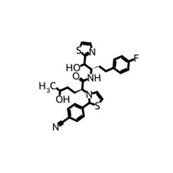 CC(O)CC[C@@H](C(=O)N[C@@H](CCc1ccc(F)cc1)C(O)c1nccs1)N1C=CSC1c1ccc(C#N)cc1